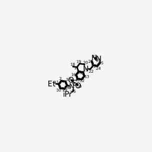 CCc1ccc(N(CC(C)C)S(=O)(=O)c2ccc3c(c2)C(C)CCN3Cc2ccnnc2)cc1